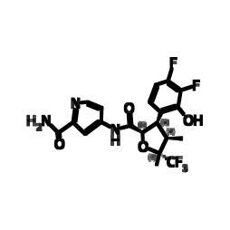 C[C@@H]1[C@H](c2ccc(F)c(F)c2O)[C@H](C(=O)Nc2ccnc(C(N)=O)c2)O[C@@]1(C)C(F)(F)F